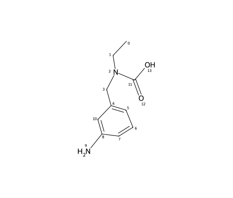 CCN(Cc1cccc(N)c1)C(=O)O